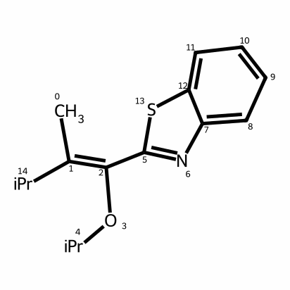 C/C(=C(/OC(C)C)c1nc2ccccc2s1)C(C)C